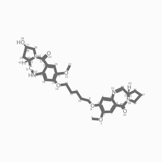 COc1cc2c(cc1OCCCCCOc1cc3c(cc1OC)C(=O)N1C[C@H](O)C[C@H]1CN3)N=C[C@@H]1CCCN1C2=O